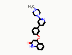 CN1CCN(c2cc(-c3cccc(Oc4cc(=O)[nH]c5ccccc45)c3)ccn2)CC1